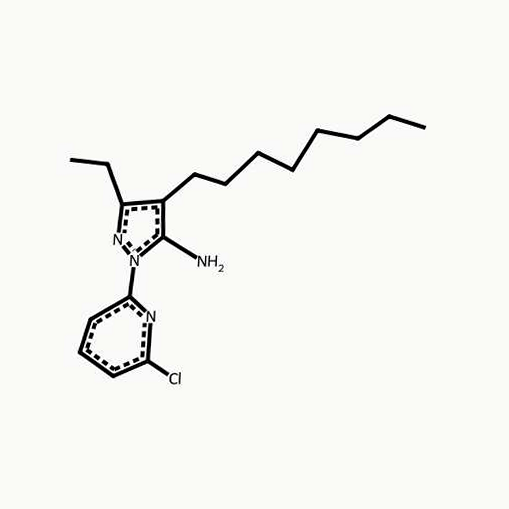 CCCCCCCCc1c(CC)nn(-c2cccc(Cl)n2)c1N